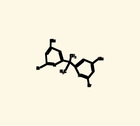 CC(C)(C)c1cc(Br)nc(C(C)(C)c2cc(C(C)(C)C)cc(Br)n2)c1